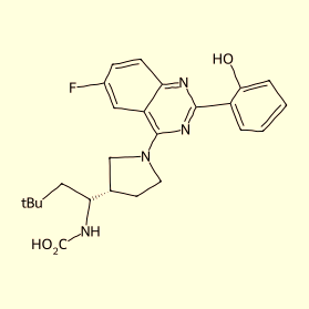 CC(C)(C)CC(NC(=O)O)[C@H]1CCN(c2nc(-c3ccccc3O)nc3ccc(F)cc23)C1